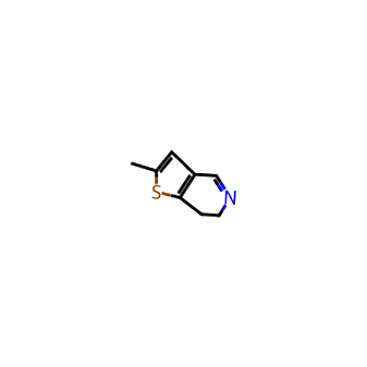 Cc1cc2c(s1)CCN=C2